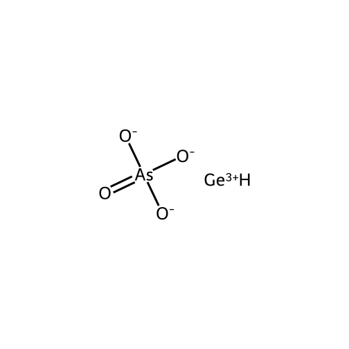 O=[As]([O-])([O-])[O-].[GeH+3]